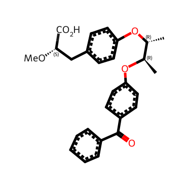 CO[C@@H](Cc1ccc(O[C@H](C)[C@@H](C)Oc2ccc(C(=O)c3ccccc3)cc2)cc1)C(=O)O